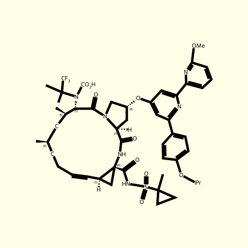 COc1cccc(-c2cc(O[C@@H]3C[C@H]4C(=O)N[C@]5(C(=O)NS(=O)(=O)C6(C)CC6)C[C@H]5C=CCC[C@@H](C)C[C@@H](C)[C@H](N(C(=O)O)C(C)(C)C(F)(F)F)C(=O)N4C3)cc(-c3ccc(OC(C)C)cc3)n2)n1